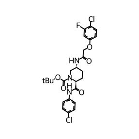 CC(C)(C)OC(=O)N1C[C@H](NC(=O)COc2ccc(Cl)c(F)c2)CC[C@H]1C(=O)Nc1ccc(Cl)cc1